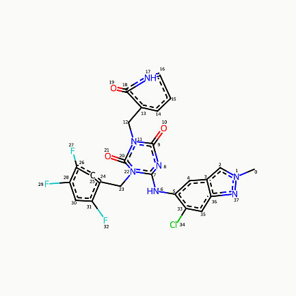 Cn1cc2cc(Nc3nc(=O)n(Cc4ccc[nH]c4=O)c(=O)n3Cc3cc(F)c(F)cc3F)c(Cl)cc2n1